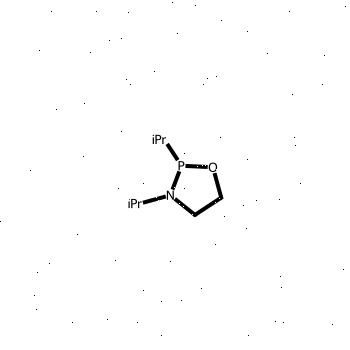 CC(C)N1CCOP1C(C)C